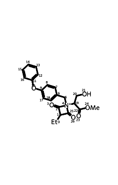 CCC1C(=O)[N+](Cc2ccc(Oc3ccccc3)cc2)(C(CO)C(=O)OC)C1=O